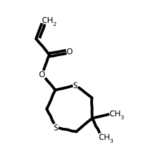 C=CC(=O)OC1CSCC(C)(C)CS1